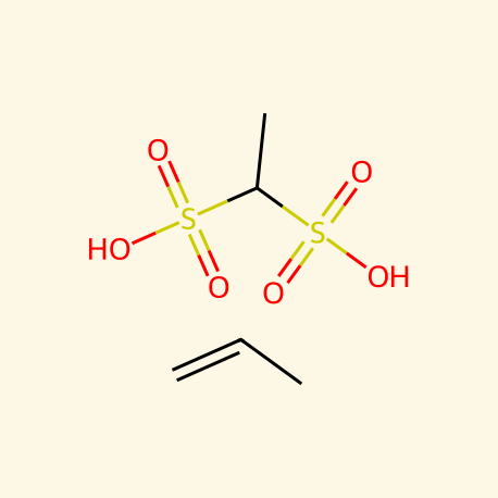 C=CC.CC(S(=O)(=O)O)S(=O)(=O)O